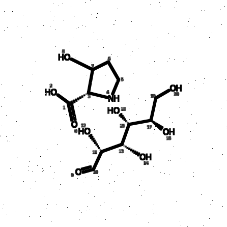 O=C(O)[C@H]1NCCC1O.O=C[C@H](O)[C@@H](O)[C@H](O)[C@H](O)CO